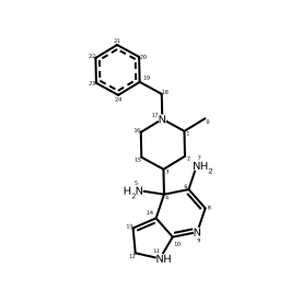 CC1CC(C2(N)C(N)=CN=C3NCC=C32)CCN1Cc1ccccc1